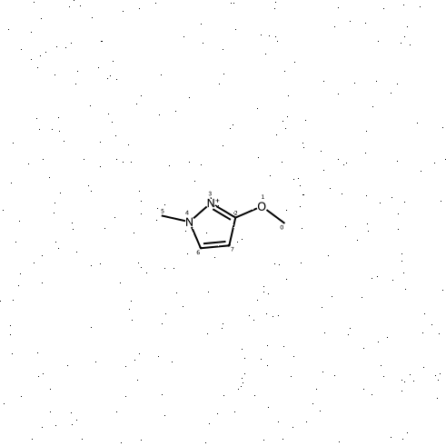 COC1=[N+]N(C)C=C1